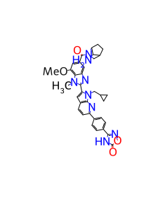 COc1cc(C(=O)N2CC3CCC2C3N)cc2nc(-c3cc4ccc(-c5ccc(-c6noc(=O)[nH]6)cc5)nc4n3CC3CC3)n(C)c12